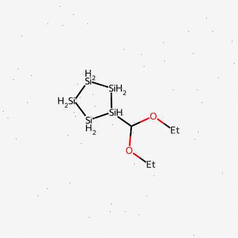 CCOC(OCC)[SiH]1[SiH2][SiH2][SiH2][SiH2]1